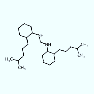 CC(C)CCCC1CCCCC1NCNC1CCCCC1CCCC(C)C